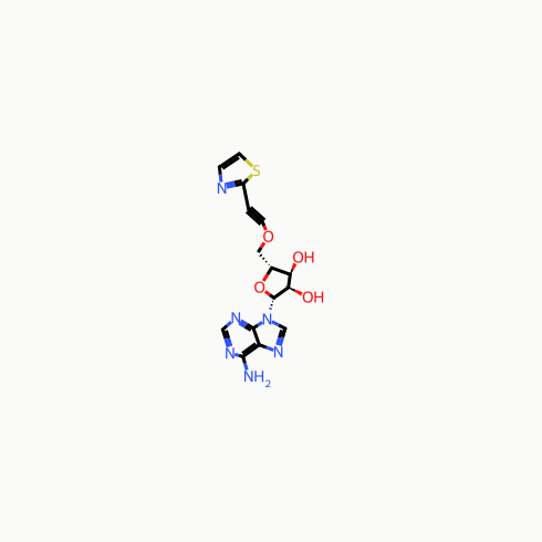 Nc1ncnc2c1ncn2[C@@H]1O[C@H](COC#Cc2nccs2)[C@@H](O)[C@H]1O